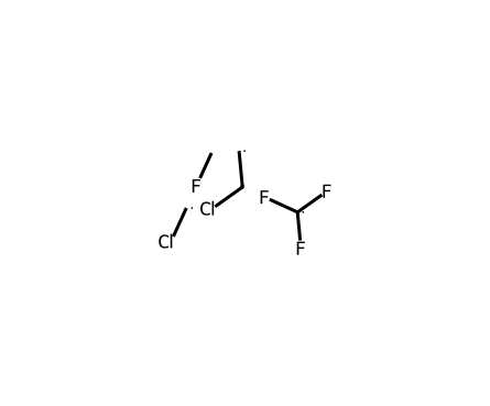 CF.F[C](F)F.[CH2]CCl.[CH2]Cl